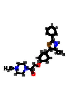 Cc1nc(-c2ccccc2)sc1-c1ccc(OCC(=O)N2CCN(C)CC2)cc1